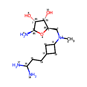 CN(C[C@H]1O[C@@H](N)[C@H](O)[C@@H]1O)C1CC(CCC(N)N)C1